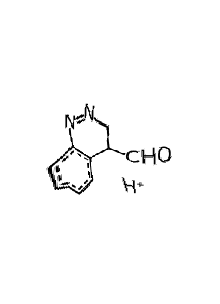 O=CC1CN=Nc2ccccc21.[H+]